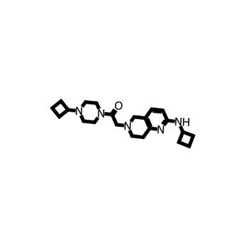 O=C(CN1CCc2nc(NC3CCC3)ccc2C1)N1CCN(C2CCC2)CC1